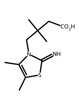 Cc1sc(=N)n(CC(C)(C)CC(=O)O)c1C